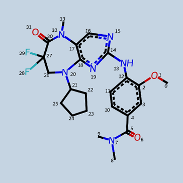 COc1cc(C(=O)N(C)C)ccc1Nc1ncc2c(n1)N(C1CCCC1)CC(F)(F)C(=O)N2C